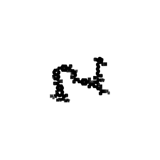 CCCN(CCC)C(=O)C1=Cc2ccc(C(=O)Nc3cnc4c(c3)CN(Cc3ccc(C(=O)NCC(F)(F)CNC(=O)OCc5ccc(NC(=O)C(CCCNC(N)=O)NC(=O)C(NC(=O)CCCCCN6C(=O)C=CC6O)C(C)C)cc5)cc3)CC4)cc2N=C(N)C1